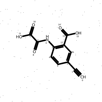 C#Cc1ccc(NC(=O)C(=O)O)c(C(=O)O)c1